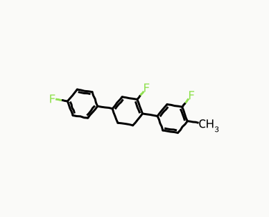 Cc1ccc(C2=C(F)C=C(c3ccc(F)cc3)CC2)cc1F